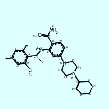 Cc1cc(C)c([C@@H](C)Nc2cc(N3CCN(C4CCCCC4)CC3)ccc2C(N)=O)c(Cl)c1